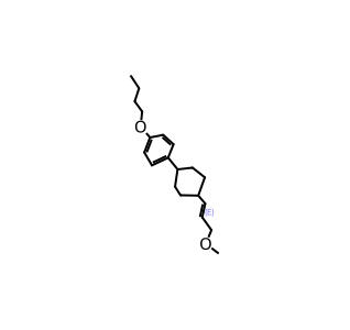 CCCCOc1ccc(C2CCC(/C=C/COC)CC2)cc1